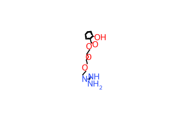 CN(CCOCCOCCOC(=O)c1ccccc1O)C(=N)N